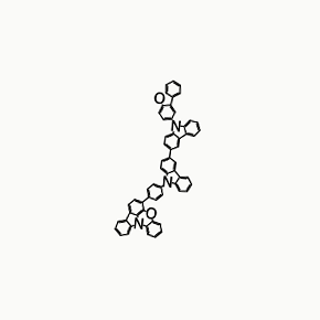 c1ccc2c(c1)Oc1c(-c3ccc(-n4c5ccccc5c5cc(-c6ccc7c(c6)c6ccccc6n7-c6ccc7oc8ccccc8c7c6)ccc54)cc3)ccc3c4ccccc4n-2c13